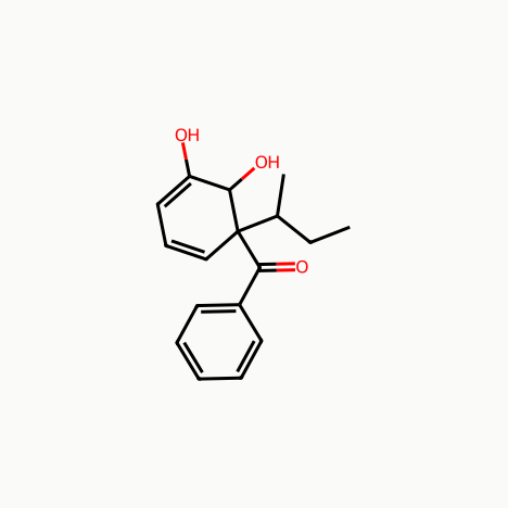 CCC(C)C1(C(=O)c2ccccc2)C=CC=C(O)C1O